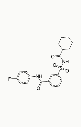 O=C(Nc1ccc(F)cc1)c1cccc(S(=O)(=O)NC(=O)C2CCCCC2)c1